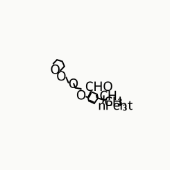 CCCCCC(C)(C)c1ccc(OCCOCCOC2CCCCO2)c(C=O)c1